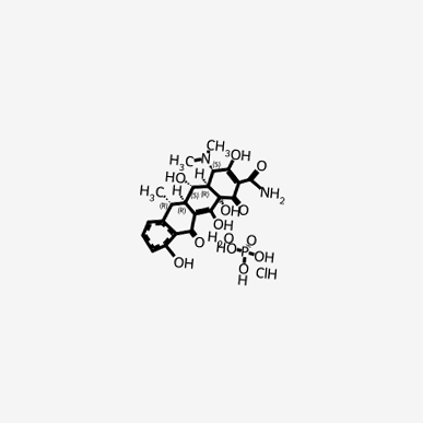 C[C@H]1c2cccc(O)c2C(=O)C2=C(O)[C@]3(O)C(=O)C(C(N)=O)=C(O)[C@@H](N(C)C)[C@@H]3[C@@H](O)[C@@H]21.Cl.O.O=P(O)(O)O